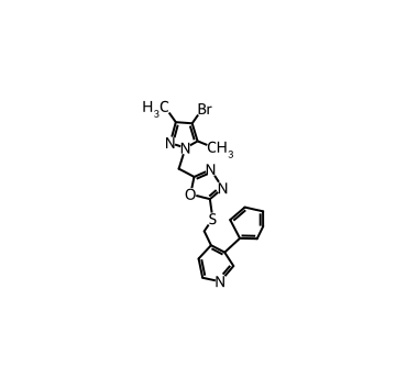 Cc1nn(Cc2nnc(SCc3ccncc3-c3ccccc3)o2)c(C)c1Br